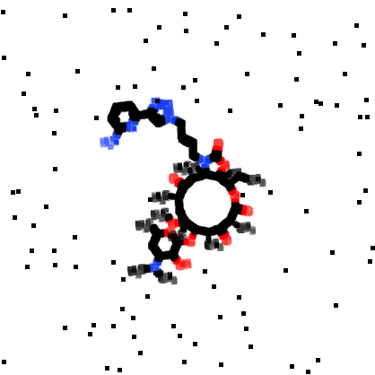 CC[C@H]1OC(=O)[C@H](C)C(=O)[C@H](C)[C@@H](O[C@@H]2OC(C)CC(N(C)C)C2O)[C@](C)(OC)C[C@@H](C)C(=O)[C@H](C)[C@H]2N(C/C=C/Cn3cc(-c4cccc(N)n4)nn3)C(=O)O[C@]12C